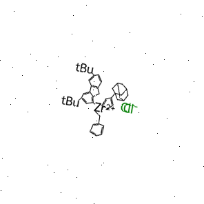 CC(C)(C)c1ccc2c(c1)-c1cc(C(C)(C)C)c[c]([Zr+2](=[CH]Cc3ccccc3)[C]3=CC(C45CC6CC(CC(C6)C4)C5)=CC3)c1C2.[Cl-].[Cl-]